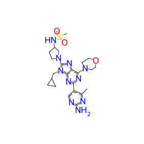 Cc1nc(N)ncc1-c1nc(N2CCOCC2)c2nc(N3CCC(NS(C)(=O)=O)C3)n(CC3CC3)c2n1